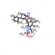 C=C(NC(C)(C)CO)C1=C(C)C(C)C(C)C(/C=C2\C(=O)NC3=CC(CC)C(c4cc(CC)ccc4C)C=C32)=C1C